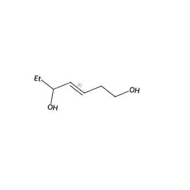 CCC(O)/C=C/CCO